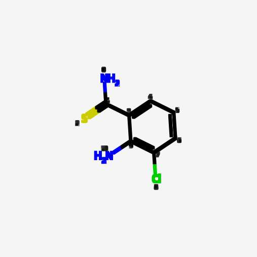 NC(=S)c1cccc(Cl)c1N